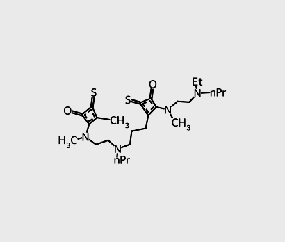 CCCN(CC)CCN(C)c1c(CCCN(CCC)CCN(C)c2c(C)c(=S)c2=O)c(=S)c1=O